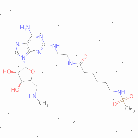 CNC[C@H]1O[C@@H](n2cnc3c(N)nc(NCCNC(=O)CCCCCNS(C)(=O)=O)nc32)[C@H](O)[C@@H]1O